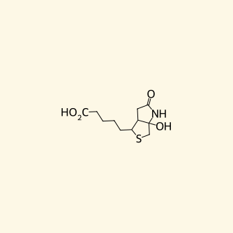 O=C(O)CCCCC1SCC2(O)NC(=O)CC12